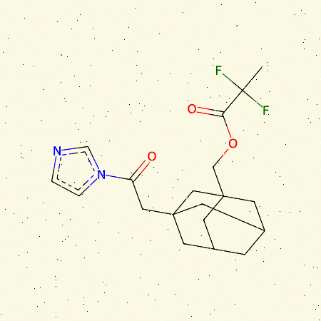 CC(F)(F)C(=O)OCC12CC3CC(C1)CC(CC(=O)n1ccnc1)(C3)C2